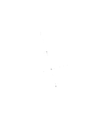 FCC(F)(Cl)C(F)(F)Cl